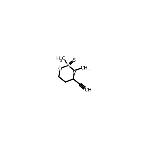 C#CC1CCOP(C)(=S)N1C